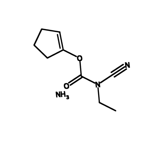 CCN(C#N)C(=O)OC1=CCCC1.N